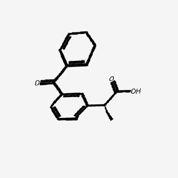 C[C@H](C(=O)O)c1cccc(C(=O)C2=CCCC=C2)c1